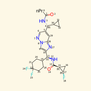 CCCC(=O)N[C@@H](c1cnn2cc([C@@H](NC(=O)[C@H]3C[C@H]3F)C3CCC(F)(F)CC3)nc2c1)C1CC1